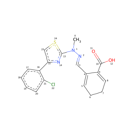 CN(/N=C/C1=CCCC=C1C(=O)O)c1nc(-c2ccccc2Cl)cs1